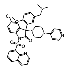 COc1ccc(CN(C)C)cc1C1(N2CCN(c3ccncc3)CC2)C(=O)N(S(=O)(=O)c2cccc3cccnc23)c2ccc(Cl)cc21